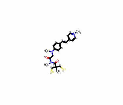 CN(C(=O)CN(C)c1ccc(/C=C/c2cc[n+](C)cc2)cc1)C(=O)C(C)(CS)CS